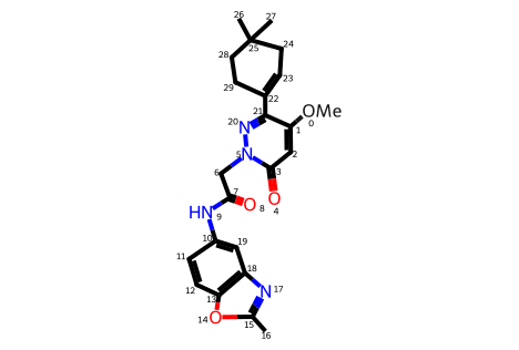 COc1cc(=O)n(CC(=O)Nc2ccc3oc(C)nc3c2)nc1C1=CCC(C)(C)CC1